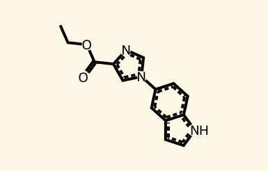 CCOC(=O)c1cn(-c2ccc3[nH]ccc3c2)cn1